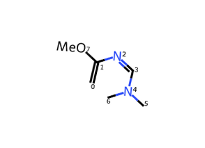 C=C(/N=C\N(C)C)OC